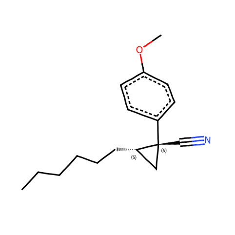 CCCCCC[C@H]1C[C@@]1(C#N)c1ccc(OC)cc1